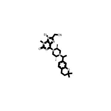 CCn1c(CC#N)nc2c(N3C[C@@H](C)N(C(C)c4ccc5c(c4)OC(C)(C)CC5)C[C@@H]3C)nc(=O)n(C)c21